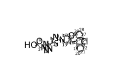 O=C(O)Cn1nnc(-c2cnc(N3CCC4(C=C(c5ccccc5Cl)c5ccccc5O4)CC3)s2)n1